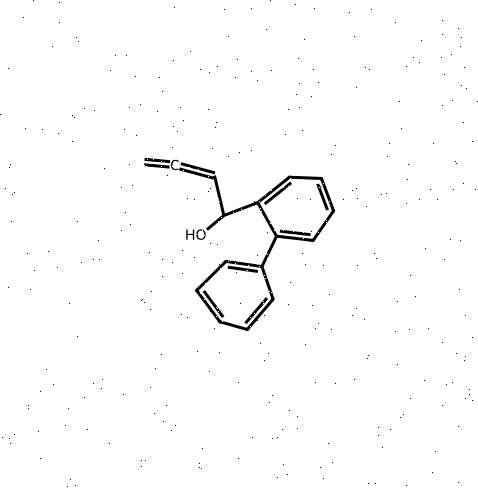 C=C=CC(O)c1ccccc1-c1ccccc1